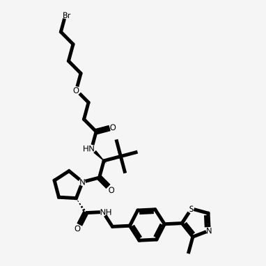 Cc1ncsc1-c1ccc(CNC(=O)[C@@H]2CCCN2C(=O)[C@@H](NC(=O)CCOCCCCBr)C(C)(C)C)cc1